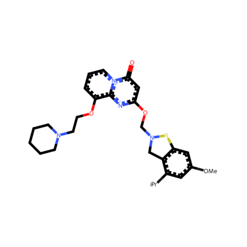 COc1cc2c(c(C(C)C)c1)CN(COc1cc(=O)n3cccc(OCCN4CCCCC4)c3n1)S2